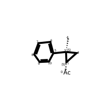 CC(=O)[C@H]1C[C@]1(C)c1ccccc1